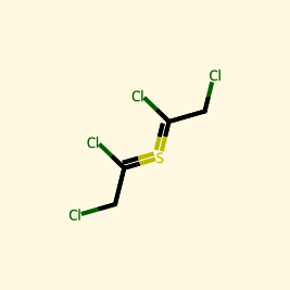 ClCC(Cl)=S=C(Cl)CCl